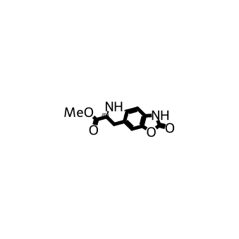 COC(=O)[C@H](N)Cc1ccc2[nH]c(=O)oc2c1